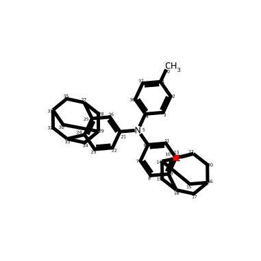 Cc1ccc(N(c2ccc3c(c2)C2CC4CC(CC3C4)C2)c2ccc3c(c2)C2CC4CC(CC3C4)C2)cc1